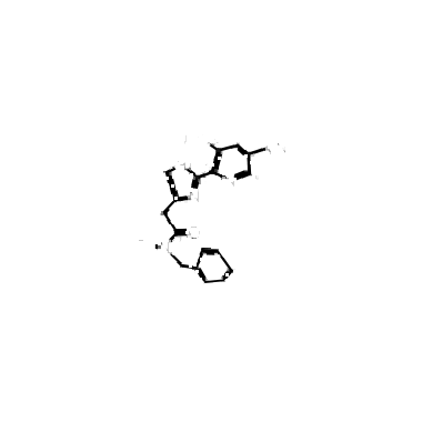 CCN(Cc1ccccc1)C(=O)Cc1csc(-c2ncc(C#N)cc2O)n1